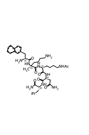 CC(=O)NCCCC[C@H](NC(=O)[C@](C)(CCCCN)NC(=O)[C@@H](N)Cc1ccc2ccccc2c1)C(=O)N[C@@H](CC(N)=O)C(=O)N[C@H](CC(C)C)C(N)=O